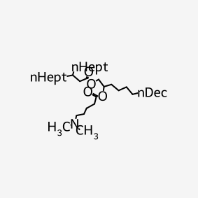 CCCCCCCCCCCCCCC(COC(=O)CC(CCCCCCC)CCCCCCC)OC(=O)CCCCN(C)C